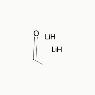 CC=O.[LiH].[LiH]